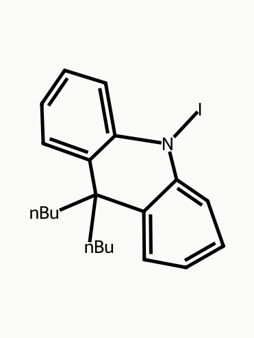 CCCCC1(CCCC)c2ccccc2N(I)c2ccccc21